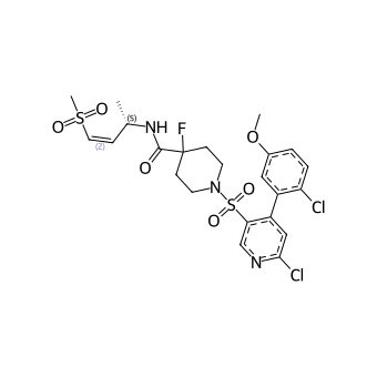 COc1ccc(Cl)c(-c2cc(Cl)ncc2S(=O)(=O)N2CCC(F)(C(=O)N[C@@H](C)/C=C\S(C)(=O)=O)CC2)c1